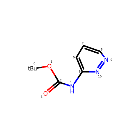 CC(C)(C)OC(=O)Nc1cccnn1